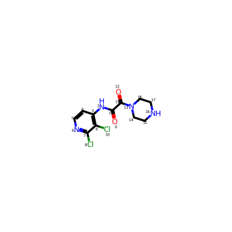 O=C(Nc1ccnc(Cl)c1Cl)C(=O)N1CCNCC1